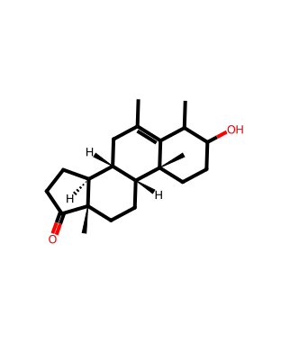 CC1=C2C(C)C(O)CC[C@]2(C)[C@@H]2CC[C@]3(C)C(=O)CC[C@H]3[C@@H]2C1